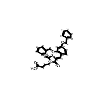 O=C(O)CCCN1C(=O)C(=Cc2ccc(OCc3ccccc3)cc2OCc2ccccc2)SC1=S